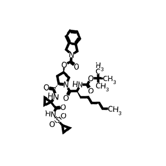 CCCCCC[C@H](NC(=O)OC(C)(C)C)C(=O)N1C[C@H](OC(=O)N2Cc3ccccc3C2)C[C@H]1C(=O)NC1(C(=O)NS(=O)(=O)C2CC2)CC1